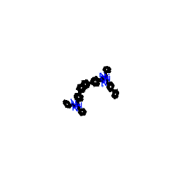 c1ccc(-c2ccc(-c3nc(-c4ccccc4)nc(-c4ccc(-c5ccc6ccc(-c7ccc(-c8nc(-c9ccccc9)nc(-c9ccccc9)n8)cc7)cc6c5)cc4)n3)cc2)cc1